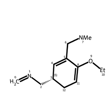 C=NC[C@@H]1C=C(CNC)C(OCC)=CC1